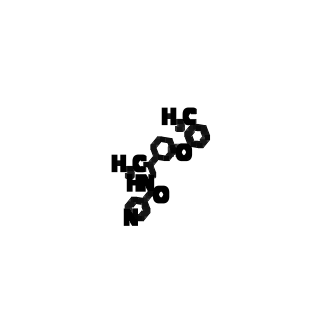 Cc1cccc(O[C@@H]2CCCC(C(C)CNC(=O)c3ccncc3)C2)c1